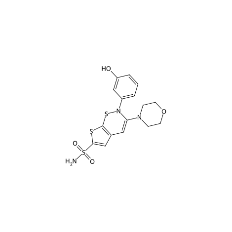 NS(=O)(=O)c1cc2c(s1)SN(c1cccc(O)c1)C(N1CCOCC1)=C2